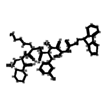 CCCC[C@H](NC(=O)OCC1c2ccccc2-c2ccccc21)C(=O)N(C)[C@@H](Cc1cccc(Cl)c1)C(=O)N[C@@H](COCCC(C)C)C(=O)N[C@@H](CC(=O)O)C(=O)N1CCCCC1